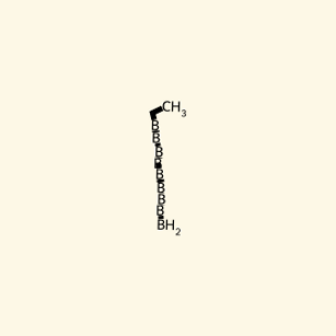 BB=BB=BB=BB=BCC